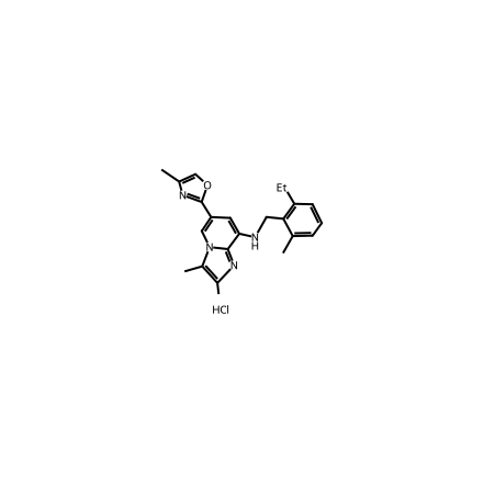 CCc1cccc(C)c1CNc1cc(-c2nc(C)co2)cn2c(C)c(C)nc12.Cl